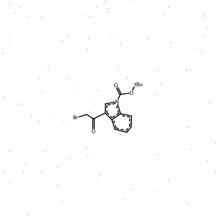 CC(C)(C)OC(=O)n1cc(C(=O)CBr)c2ccccc21